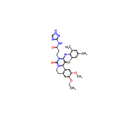 CCOc1cc2c(cc1OC)-c1c/c(=N\c3c(C)cc(C)cc3C)n(CCC(=O)Nc3nc[nH]n3)c(=O)n1CC2